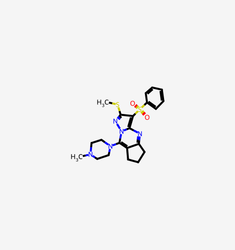 CSc1nn2c(N3CCN(C)CC3)c3c(nc2c1S(=O)(=O)c1ccccc1)CCC3